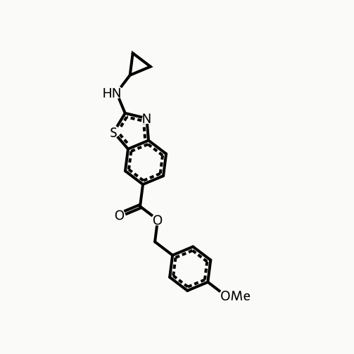 COc1ccc(COC(=O)c2ccc3nc(NC4CC4)sc3c2)cc1